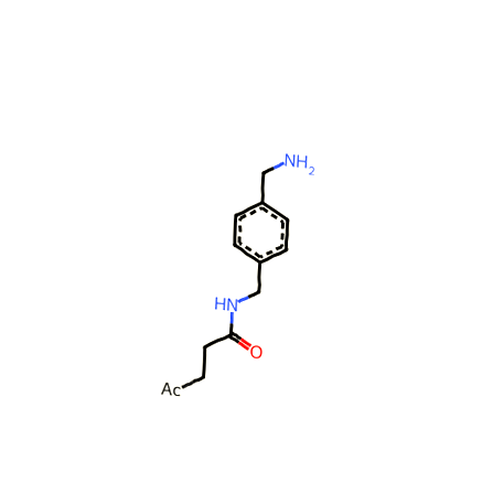 CC(=O)CCC(=O)NCc1ccc(CN)cc1